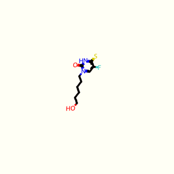 O=c1[nH]c(=S)c(F)cn1CCCCCCO